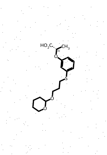 C[C@H](Oc1cccc(SCCCOC2CCCCO2)c1)C(=O)O